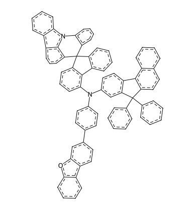 c1ccc(C2(c3ccccc3)c3cc(N(c4ccc(-c5ccc6c(c5)oc5ccccc56)cc4)c4cccc5c4-c4ccccc4C54c5ccccc5-n5c6ccccc6c6cccc4c65)ccc3-c3c2ccc2ccccc32)cc1